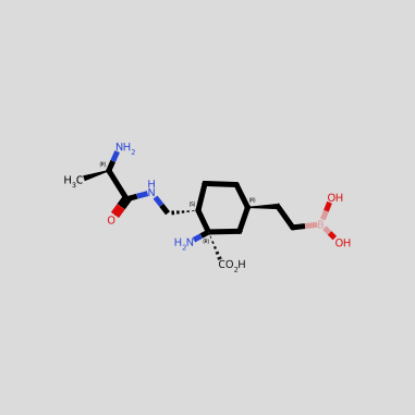 C[C@@H](N)C(=O)NC[C@@H]1CC[C@@H](CCB(O)O)C[C@]1(N)C(=O)O